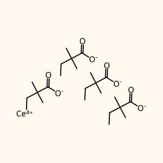 CCC(C)(C)C(=O)[O-].CCC(C)(C)C(=O)[O-].CCC(C)(C)C(=O)[O-].CCC(C)(C)C(=O)[O-].[Ce+4]